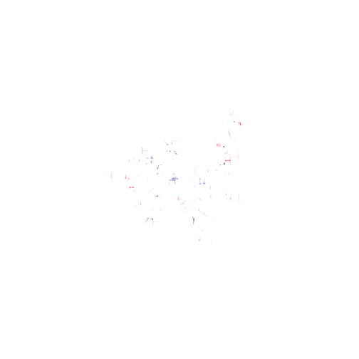 Cc1ccc(-c2c(CN)c(CC(C)(C)C)nc(C)c2C(=O)O)cc1.Cc1ccc(-c2c(CN)c(CC(C)(C)C)nc(C)c2C(=O)O)cc1.O=C(O)C=CC(=O)O